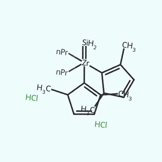 CC[CH2][Zr](=[SiH2])([CH2]CC)([C]1=C(C)C=CC1C)[C]1=C(C)C=CC1C.Cl.Cl